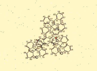 c1ccc(C2(c3ccccc3)c3ccccc3Oc3cccc(-c4cccc5c(-c6cccc7c6-c6ccccc6C76c7ccccc7-c7c6c6ccccc6c6ccccc76)c6cccc(-c7cccc8c7C(c7ccccc7)(c7ccccc7)c7ccccc7O8)c6cc45)c32)cc1